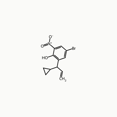 C=CC(c1cc(Br)cc([N+](=O)[O-])c1O)C1CC1